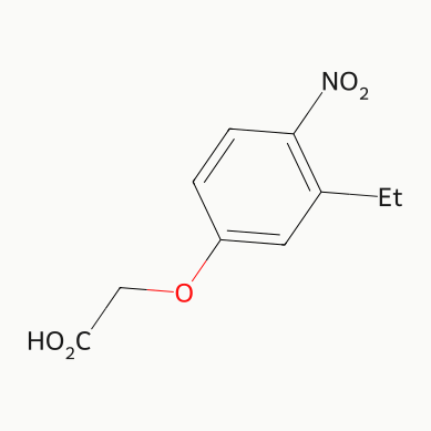 CCc1cc(OCC(=O)O)ccc1[N+](=O)[O-]